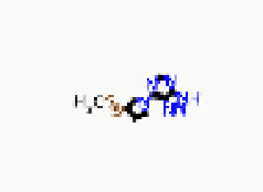 CSSC1CCN(c2ncnc3[nH]nnc23)C1